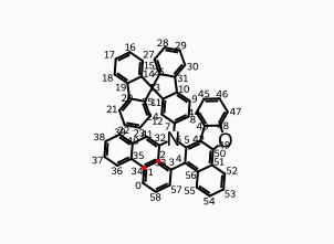 c1ccc(-c2c(N(c3ccc4c(c3)C3(c5ccccc5-c5ccccc53)c3ccccc3-4)c3ccc4ccccc4c3)c3c4ccccc4oc3c3ccccc23)cc1